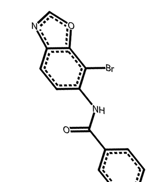 O=C(Nc1ccc2ncoc2c1Br)c1ccncc1